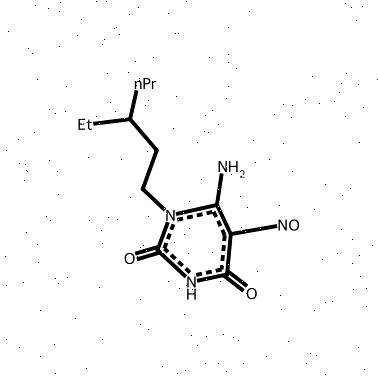 CCCC(CC)CCn1c(N)c(N=O)c(=O)[nH]c1=O